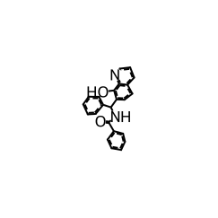 O=C(NC(c1ccccc1)c1ccc2cccnc2c1O)c1ccccc1